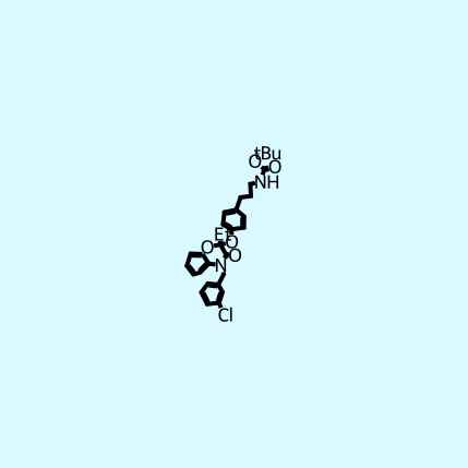 CCC1(Oc2ccc(CCCNC(=O)OC(C)(C)C)cc2)Oc2ccccc2N(Cc2cccc(Cl)c2)C1=O